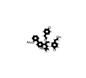 COc1ccccc1-c1ccc2c(c1)C(C(C)OCCc1ccc(Cl)cc1)=CC(C)(C)N2.OCCc1ccc(Cl)cc1